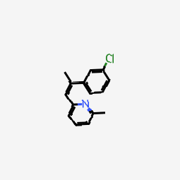 CC(=Cc1cccc(C)n1)c1cccc(Cl)c1